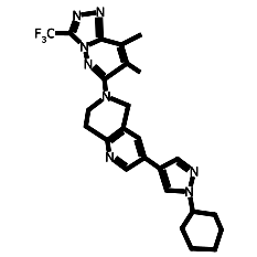 Cc1c(N2CCc3ncc(-c4cnn(C5CCCCC5)c4)cc3C2)nn2c(C(F)(F)F)nnc2c1C